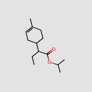 CCC(C(=O)OC(C)C)C1CC=C(C)CC1